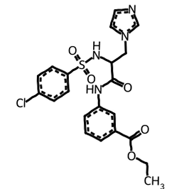 CCOC(=O)c1cccc(NC(=O)C(Cn2ccnc2)NS(=O)(=O)c2ccc(Cl)cc2)c1